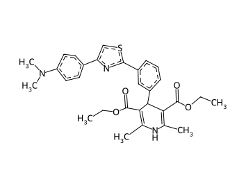 CCOC(=O)C1=C(C)NC(C)=C(C(=O)OCC)C1c1cccc(-c2nc(-c3ccc(N(C)C)cc3)cs2)c1